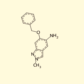 Cn1cc2cc(N)c(OCc3ccccc3)cc2n1